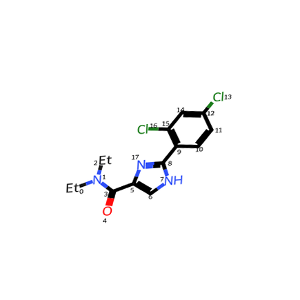 CCN(CC)C(=O)c1c[nH]c(-c2ccc(Cl)cc2Cl)n1